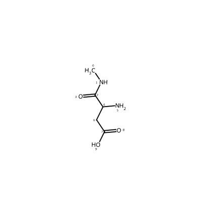 CNC(=O)C(N)CC(=O)O